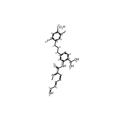 C\N=C(/C=C\C=N\N=N)C(=O)Nc1cc(CCCc2cc(C)c(C(=O)O)cc2F)ccc1C(O)O